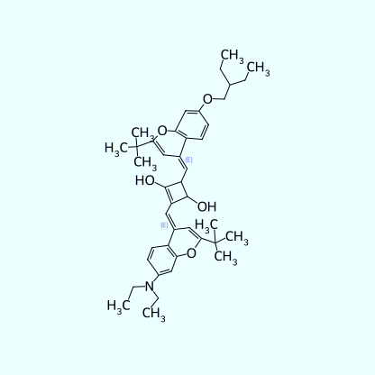 CCC(CC)COc1ccc2c(c1)OC(C(C)(C)C)=C/C2=C\C1C(O)=C(/C=C2\C=C(C(C)(C)C)Oc3cc(N(CC)CC)ccc32)C1O